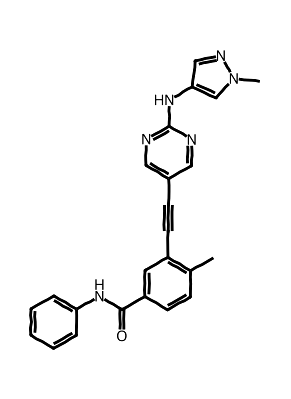 Cc1ccc(C(=O)Nc2ccccc2)cc1C#Cc1cnc(Nc2cnn(C)c2)nc1